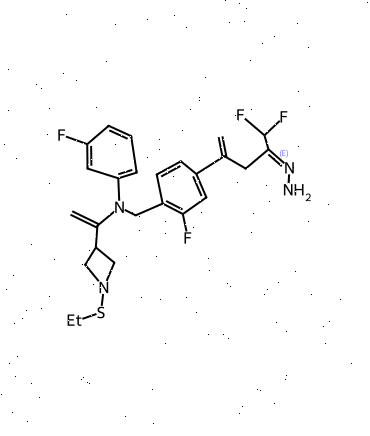 C=C(C/C(=N\N)C(F)F)c1ccc(CN(C(=C)C2CN(SCC)C2)c2cccc(F)c2)c(F)c1